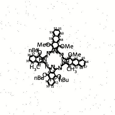 CCCCOc1c2c(c(OCCCC)c3ccccc13)-c1nc-2nc2[nH]c(nc3nc(nc4[nH]c(n1)c1c(C)c5ccccc5c(OCCCC)c41)-c1c-3c(OC)c3cc4ccccc4cc3c1OC)c1c(OC)c3cc4ccccc4cc3c(C)c21